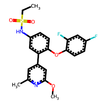 CCS(=O)(=O)Nc1ccc(Oc2ccc(F)cc2F)c(-c2cc(C)nc(OC)c2)c1